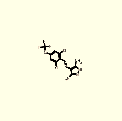 Nc1n[nH]c(N)c1N=Nc1c(Cl)cc(OC(F)(F)F)cc1Cl